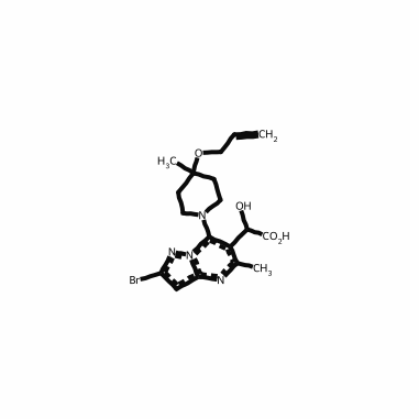 C=CCOC1(C)CCN(c2c(C(O)C(=O)O)c(C)nc3cc(Br)nn23)CC1